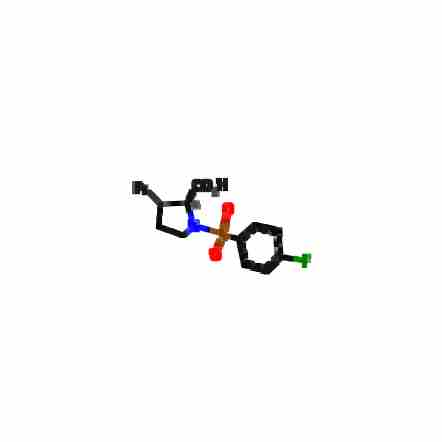 CC(C)C1CCN(S(=O)(=O)c2ccc(F)cc2)[C@@H]1C(=O)O